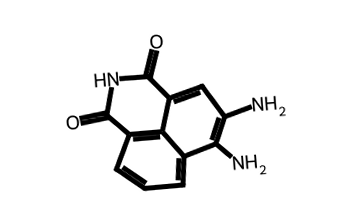 Nc1cc2c3c(cccc3c1N)C(=O)NC2=O